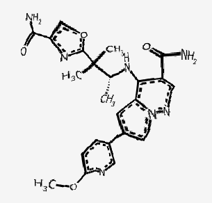 COc1ccc(-c2cc3c(N[C@H](C)C(C)(C)c4nc(C(N)=O)co4)c(C(N)=O)cnn3c2)cn1